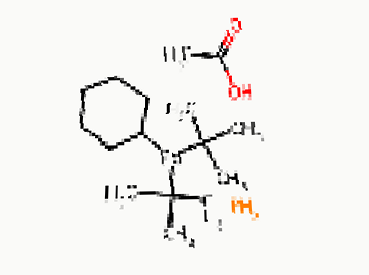 CC(=O)O.C[C](C)(C)[Pd]([CH]1CCCCC1)[C](C)(C)C.P